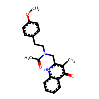 COc1ccc(CCN(Cc2[nH]c3ccccc3c(=O)c2C)C(C)=O)cc1